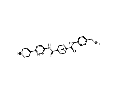 NCc1ccc(NC(=O)C23CCC(C(=O)Nc4ccc(C5=CCNCC5)nn4)(CC2)CC3)cc1